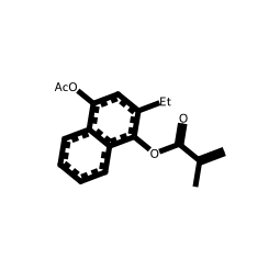 C=C(C)C(=O)Oc1c(CC)cc(OC(C)=O)c2ccccc12